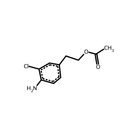 CC(=O)OCCc1ccc(N)c(Cl)c1